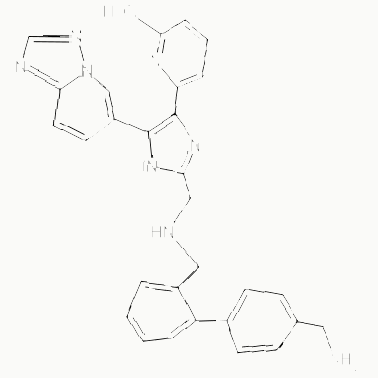 Cc1cccc(-c2nc(CNCc3ccccc3-c3ccc(CN)cc3)[nH]c2-c2ccc3ncnn3c2)n1